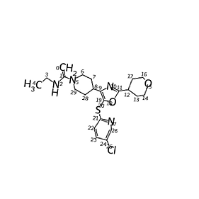 C=C(NCC)N1CCC(c2nc(C3CCOCC3)oc2Sc2ccc(Cl)cn2)CC1